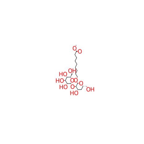 COC(=O)CCCCCCCCO[C@H]1O[C@H](CO)C[C@H](O)[C@H]1O[C@H]1O[C@H](CO)[C@@H](O)[C@H](O)[C@H]1O